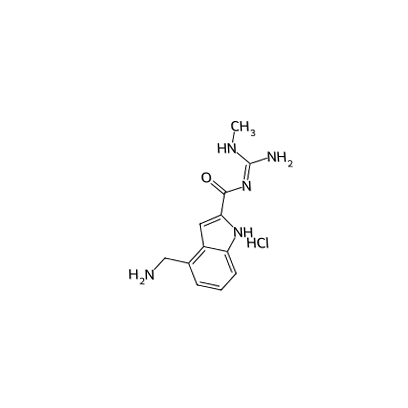 CNC(N)=NC(=O)c1cc2c(CN)cccc2[nH]1.Cl